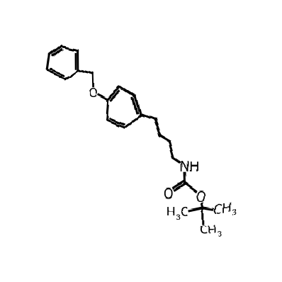 CC(C)(C)OC(=O)NCCCCc1ccc(OCc2ccccc2)cc1